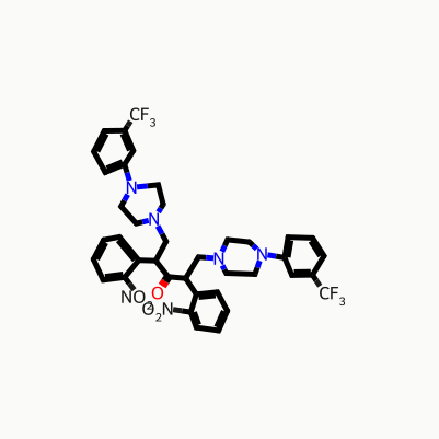 O=C(C(CN1CCN(c2cccc(C(F)(F)F)c2)CC1)c1ccccc1[N+](=O)[O-])C(CN1CCN(c2cccc(C(F)(F)F)c2)CC1)c1ccccc1[N+](=O)[O-]